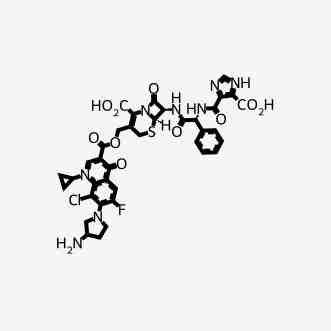 NC1CCN(c2c(F)cc3c(=O)c(C(=O)OCC4=C(C(=O)O)N5C(=O)[C@@H](NC(=O)[C@H](NC(=O)c6nc[nH]c6C(=O)O)c6ccccc6)[C@H]5SC4)cn(C4CC4)c3c2Cl)C1